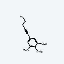 COc1cc(C#CCSC(C)=O)cc(OC)c1OC